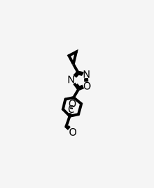 O=CC12CCC(c3nc(C4CC4)no3)(CC1)OC2